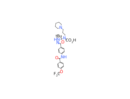 CC(C)(C)C1(N(CCCN2CCCCC2)C(=O)O)NN=C(c2ccc(NC(=O)c3ccc(OC(F)(F)F)cc3)cc2)O1